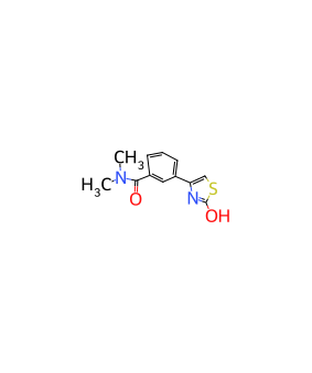 CN(C)C(=O)c1cccc(-c2csc(O)n2)c1